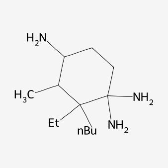 CCCCC1(CC)C(C)C(N)CCC1(N)N